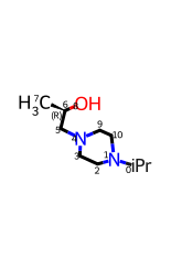 CC(C)N1CCN(C[C@@H](C)O)CC1